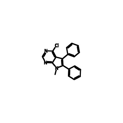 Cn1c(-c2ccccc2)c(-c2ccccc2)c2c(Cl)ncnc21